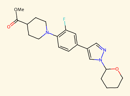 COC(=O)C1CCN(c2ccc(-c3cnn(C4CCCCO4)c3)cc2F)CC1